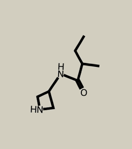 CCC(C)C(=O)NC1CNC1